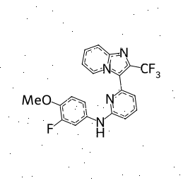 COc1ccc(Nc2cccc(-c3c(C(F)(F)F)nc4ccccn34)n2)cc1F